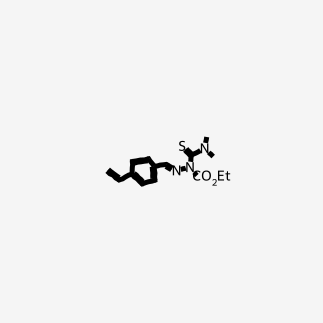 C=Cc1ccc(/C=N/N(C(=O)OCC)C(=S)N(C)C)cc1